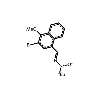 COc1c(Br)cc(/C=N/[S+]([O-])C(C)(C)C)c2ccccc12